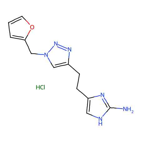 Cl.Nc1nc(CCc2cn(Cc3ccco3)nn2)c[nH]1